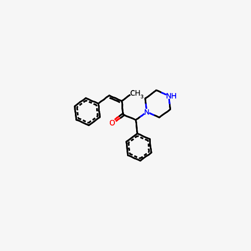 CC(=Cc1ccccc1)C(=O)C(c1ccccc1)N1CCNCC1